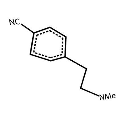 [CH2]NCCc1ccc(C#N)cc1